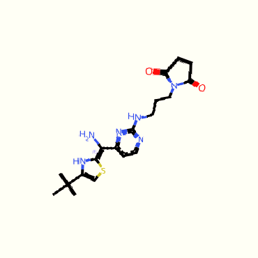 CC(C)(C)C1=CS/C(=C(/N)c2ccnc(NCCCN3C(=O)CCC3=O)n2)N1